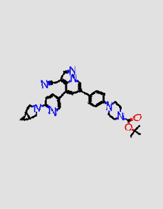 CC(C)(C)OC(=O)N1CCN(c2ccc(-c3cc(-c4ccc(N5CC6CC6C5)nc4)c4c(C#N)cnn4c3)cc2)CC1